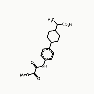 COC(=O)C(=O)Nc1ccc(C2CCC(C(C)C(=O)O)CC2)cc1